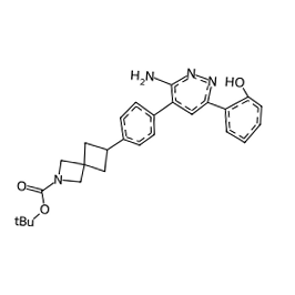 CC(C)(C)OC(=O)N1CC2(CC(c3ccc(-c4cc(-c5ccccc5O)nnc4N)cc3)C2)C1